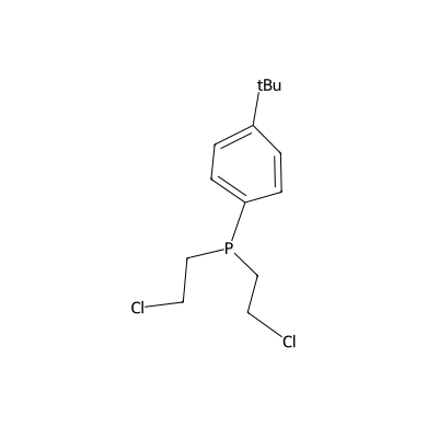 CC(C)(C)c1ccc(P(CCCl)CCCl)cc1